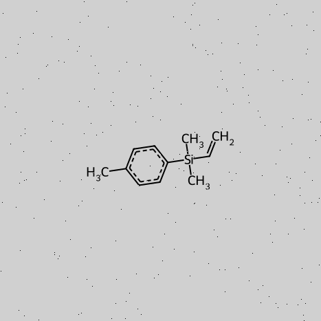 C=C[Si](C)(C)c1ccc(C)cc1